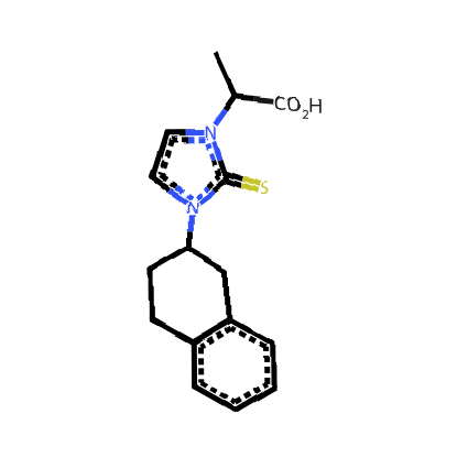 CC(C(=O)O)n1ccn(C2CCc3ccccc3C2)c1=S